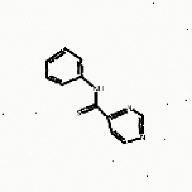 S=C(Nc1ccccc1)c1ccncn1